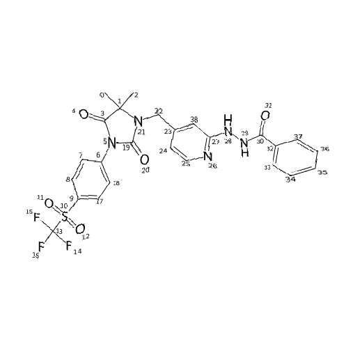 CC1(C)C(=O)N(c2ccc(S(=O)(=O)C(F)(F)F)cc2)C(=O)N1Cc1ccnc(NNC(=O)c2ccccc2)c1